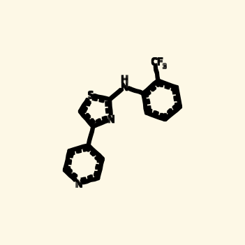 FC(F)(F)c1ccccc1Nc1nc(-c2ccncc2)cs1